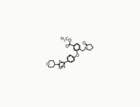 COC(=O)c1ccc(CN2CCCC2=O)c(Oc2ccc(-c3nnc(C4CCOCC4)s3)cc2)c1